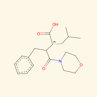 CC(C)C[C@@H](C(=O)O)C(Cc1ccccc1)C(=O)N1CCOCC1